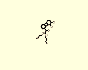 CCCCOC(OCCCC)C(=O)c1cccc2c1C1=C2CC=C(Cl)C1=O